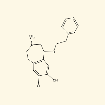 CN1CCc2cc(Cl)c(O)cc2C(OCCc2ccccc2)C1